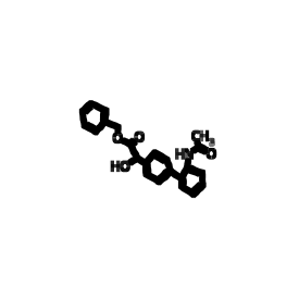 CC(=O)Nc1ccccc1-c1ccc(C(O)C(=O)OCc2ccccc2)cc1